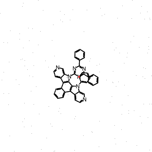 c1ccc(-c2nc(-c3ccccc3)nc(-n3c4cnccc4c4c5ccccc5c5c6ccncc6n(-c6ccccc6)c5c43)n2)cc1